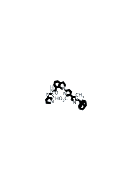 Cc1c(-c2ccc(N3CCc4cccc(C(=O)Nc5nc6cccnc6s5)c4C3)nc2C(=O)O)cnn1CC12CC3CC(CC(C3)C1)C2